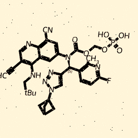 C#Cc1cnc2c(C#N)cc(N(C(=O)OCOP(=O)(O)O)[C@H](c3cn(C45CC(C4)C5)nn3)c3ccc(F)nc3C)cc2c1NCC(C)(C)C